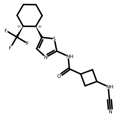 N#CNC1CC(C(=O)Nc2ncc([C@@H]3CCCC[C@@H]3C(F)(F)F)s2)C1